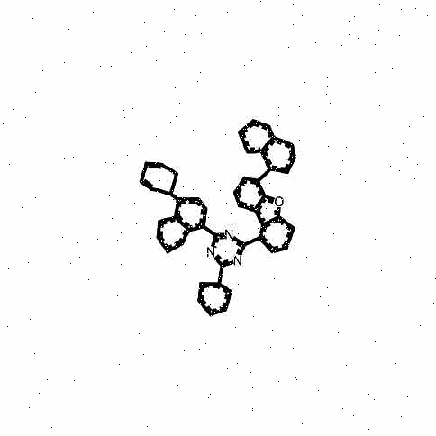 C1=CCC(c2ccc(-c3nc(-c4ccccc4)nc(-c4cccc5oc6c(-c7cccc8ccccc78)cccc6c45)n3)c3ccccc23)C=C1